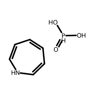 C1=CC=CNC=C1.O=[PH](O)O